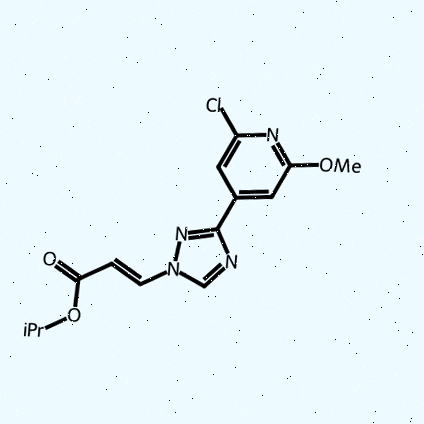 COc1cc(-c2ncn(C=CC(=O)OC(C)C)n2)cc(Cl)n1